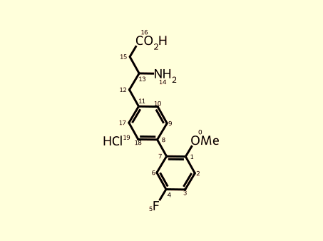 COc1ccc(F)cc1-c1ccc(CC(N)CC(=O)O)cc1.Cl